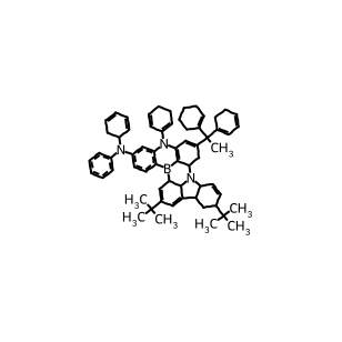 CC(C)(C)C1=CC2B3C4=C(C=C(C(C)(C5=CC=CCC5)C5=CCCCC5)CC4N4C5C=CC(C(C)(C)C)CC5C(=C1)C24)N(C1=CCCC=C1)c1cc(N(c2ccccc2)C2C=CC=CC2)ccc13